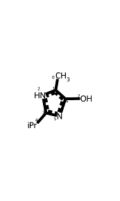 Cc1[nH]c(C(C)C)nc1O